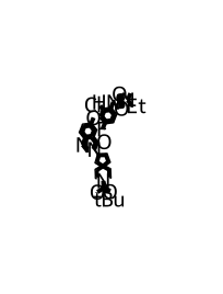 CCN(C)S(=O)(=O)Nc1ccc(F)c(Oc2ccc3ncn([C@H]4CCC5(CCN(C(=O)OC(C)(C)C)CC5)C4)c(=O)c3c2)c1Cl